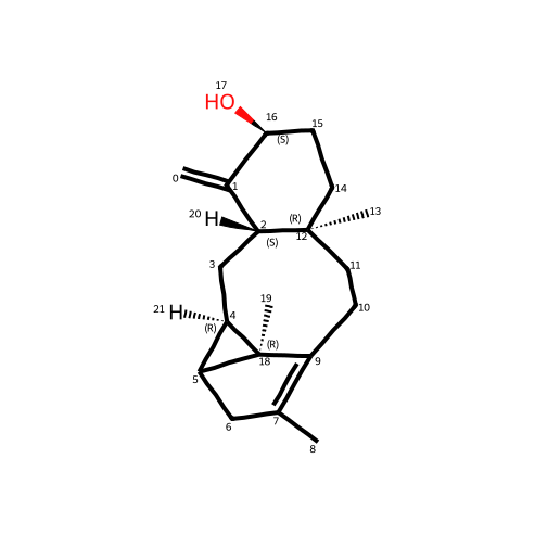 C=C1[C@H]2C[C@@H]3C4CC(C)=C(CC[C@]2(C)CC[C@@H]1O)[C@@]43C